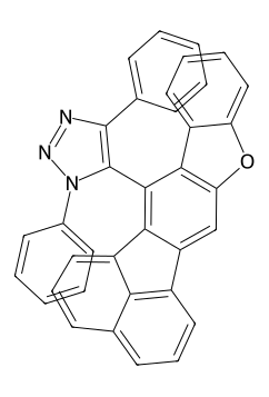 c1ccc(-c2nnn(-c3ccccc3)c2-c2c3c(cc4oc5ccccc5c24)-c2cccc4cccc-3c24)cc1